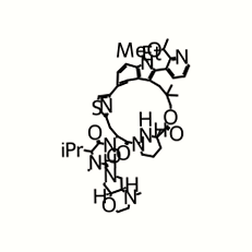 CCn1c(-c2cccnc2[C@H](C)OC)c2c3cc(ccc31)-c1csc(n1)C[C@H](NC(=O)C(C(C)C)N(C)C(=O)N1C[C@H]3OCCN(C)[C@H]3C1)C(=O)N1CCC[C@H](N1)C(=O)OCC(C)(C)C2